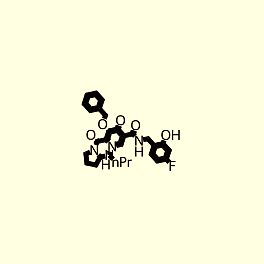 CCCN1[C@@H]2CCCN2C(=O)c2c(OCc3ccccc3)c(=O)c(C(=O)NCc3ccc(F)cc3O)cn21